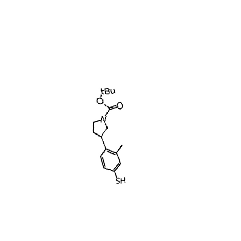 Cc1cc(S)ccc1C1CCN(C(=O)OC(C)(C)C)C1